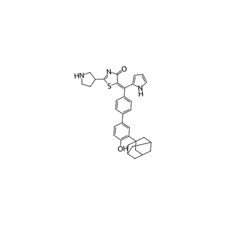 O=C1N=C(C2CCNC2)SC1=C(c1ccc(-c2ccc(O)c(C34CC5CC(CC(C5)C3)C4)c2)cc1)c1ccc[nH]1